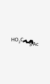 CC(=O)c1ccc(CCCC(=O)O)s1